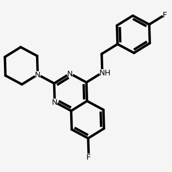 Fc1ccc(CNc2nc(N3CCCCC3)nc3cc(F)ccc23)cc1